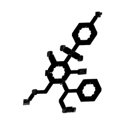 CCOCc1nc(=O)c(S(=O)(=O)c2ccc(Br)cc2)c(O)n1C(COC)c1ccccc1